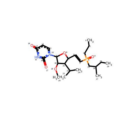 CCCP(=O)(/C=C/C1OC(n2ccc(=O)[nH]c2=O)C(OC)C1C(C)C)CC(C)CC